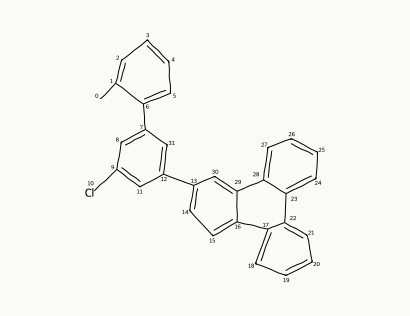 Cc1ccccc1-c1cc(Cl)cc(-c2ccc3c4ccccc4c4ccccc4c3c2)c1